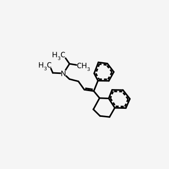 CCN(CCC=C(c1ccccc1)C1CCCc2ccccc21)C(C)C